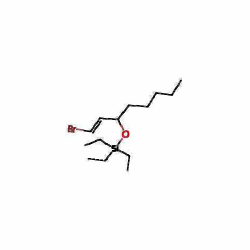 CCCCCC(C=CBr)O[Si](CC)(CC)CC